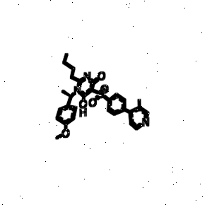 CCCCc1nc(=O)c(S(=O)(=O)c2ccc(-c3ccncc3C)cc2)c(O)n1[C@H](C)c1ccc(OC)cc1